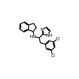 Clc1cc(Cl)cc(CC(NC2CCc3ccccc32)c2ncc[nH]2)c1